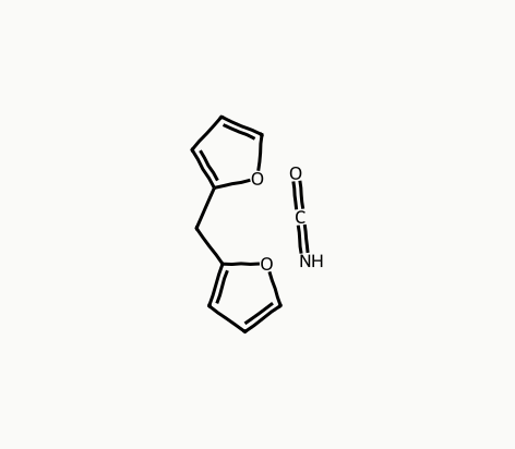 N=C=O.c1coc(Cc2ccco2)c1